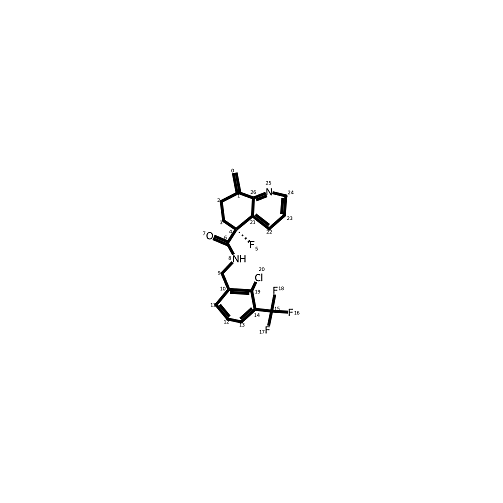 C=C1CC[C@](F)(C(=O)NCc2cccc(C(F)(F)F)c2Cl)c2cccnc21